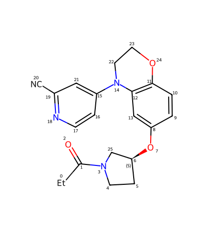 CCC(=O)N1CC[C@H](Oc2ccc3c(c2)N(c2ccnc(C#N)c2)CCO3)C1